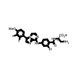 CCc1cc(Nc2nccn3c(-c4ccc(OC)c(F)c4F)cnc23)ccc1C(=O)N[C@@H](CN)C(=O)O